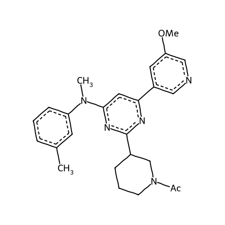 COc1cncc(-c2cc(N(C)c3cccc(C)c3)nc(C3CCCN(C(C)=O)C3)n2)c1